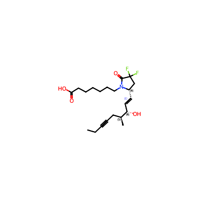 CCC#CC[C@H](C)[C@@H](O)/C=C/[C@H]1CC(F)(F)C(=O)N1CCCCCCC(=O)O